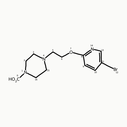 O=C(O)N1CCN(CCOc2ccc(Br)cn2)CC1